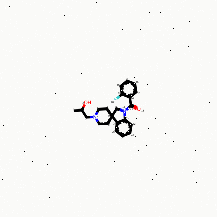 CC(O)CN1CCC2(CC1)CN(C(=O)c1ccccc1F)c1ccccc12